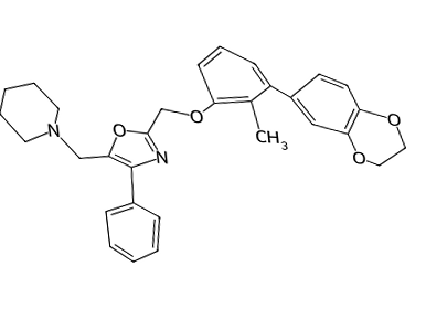 Cc1c(OCc2nc(-c3ccccc3)c(CN3CCCCC3)o2)cccc1-c1ccc2c(c1)OCCO2